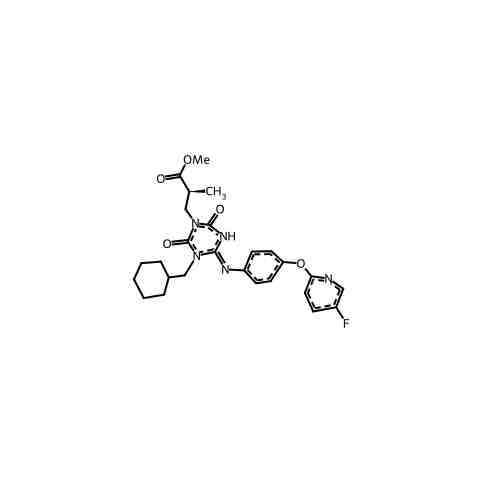 COC(=O)[C@@H](C)Cn1c(=O)[nH]/c(=N\c2ccc(Oc3ccc(F)cn3)cc2)n(CC2CCCCC2)c1=O